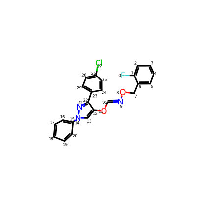 Fc1ccccc1CON=COc1cn(-c2ccccc2)nc1-c1ccc(Cl)cc1